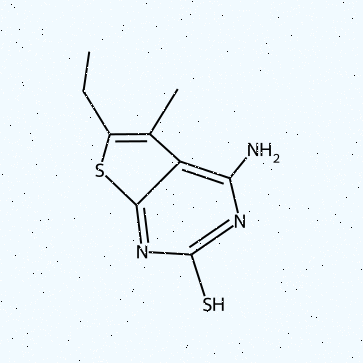 CCc1sc2nc(S)nc(N)c2c1C